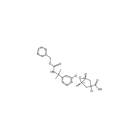 CC(C)(NC(=O)OCc1ccccc1)c1ccnc(O[C@@H]2[C@@H]3C[N+]([O-])(C(=O)O)C[C@@H]32)c1